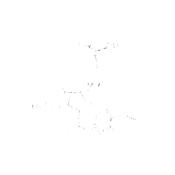 COc1ccc(CN(C)CCC(N)(CCCCB(O)O)C(=O)O)cc1.Cl.Cl